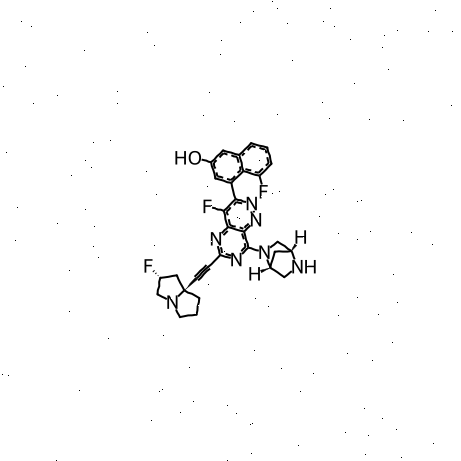 Oc1cc(-c2nnc3c(N4C[C@H]5C[C@@H]4CN5)nc(C#C[C@@]45CCCN4C[C@H](F)C5)nc3c2F)c2c(F)cccc2c1